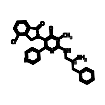 Cn1c(NC[C@@H](N)Cc2ccccc2)nc(-c2ccncc2)c(N2Cc3c(Cl)cccc3C2=O)c1=O